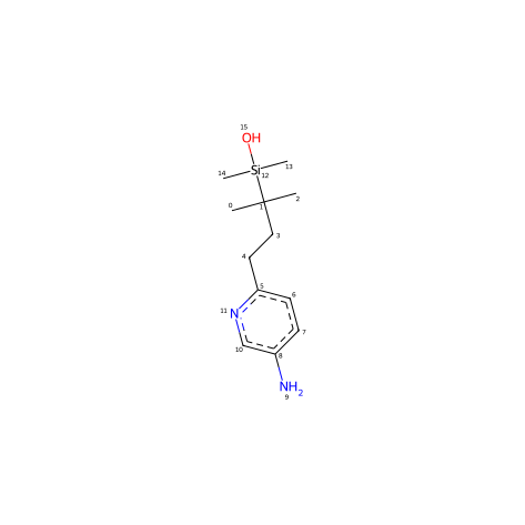 CC(C)(CCc1ccc(N)cn1)[Si](C)(C)O